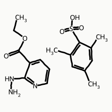 CCOC(=O)c1cccnc1NN.Cc1cc(C)c(S(=O)(=O)O)c(C)c1